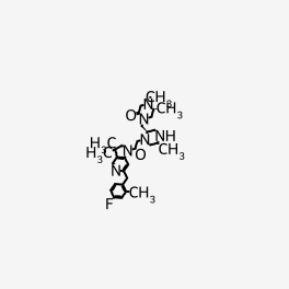 Cc1cc(F)ccc1Cc1cc2c(cn1)C(C)(C)CN2C(=O)CN1C[C@@H](C)NC[C@@H]1CN1C[C@@H](C)N(C)CC1=O